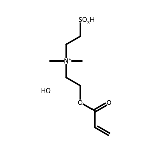 C=CC(=O)OCC[N+](C)(C)CCS(=O)(=O)O.[OH-]